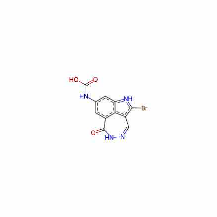 O=C(O)Nc1cc2c3c(c(Br)[nH]c3c1)C=NNC2=O